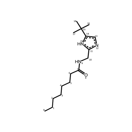 CCCCCCCC(=O)NCc1ncc(C(C)(C)C)[nH]1